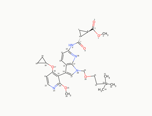 COC(=O)[C@@H]1C[C@H]1C(=O)Nc1ccc2c(-c3c(OC4CC4)ccnc3OC)cn(COCC[Si](C)(C)C)c2n1